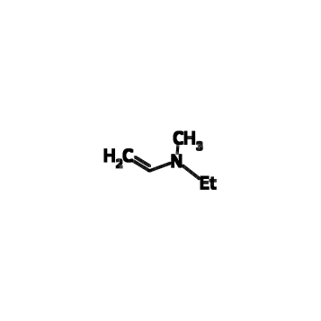 [CH2]CN(C)C=C